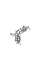 [CH2]c1ccc(C(F)(F)C(F)(F)C(F)(F)C(F)(F)F)cc1C(F)(F)C(F)(F)C(F)(F)C(F)(F)F